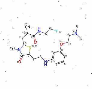 CCN1C(=O)C(CCNc2cccc(OCCN(C)C)c2)SC1CC(C#N)C(=O)NCCF